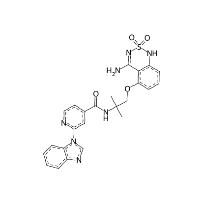 CC(C)(COc1cccc2c1C(N)=NS(=O)(=O)N2)NC(=O)c1ccnc(-n2cnc3ccccc32)c1